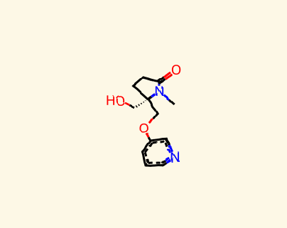 CN1C(=O)CC[C@]1(CO)COc1cccnc1